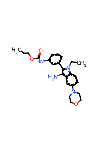 CCCOC(=O)Nc1cccc(-c2c(N)c3cc(N4CCOCC4)ccc3n2CC)c1